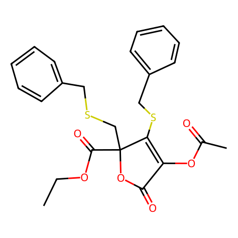 CCOC(=O)C1(CSCc2ccccc2)OC(=O)C(OC(C)=O)=C1SCc1ccccc1